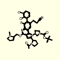 CC(=O)N1CCCC1c1cc2c(OCC3CCCN3C)nc3c(F)c(-c4cccc(Cl)c4Cl)c(CCC#N)cc3c2n1C1CCN(C(=O)OC(C)(C)C)C1